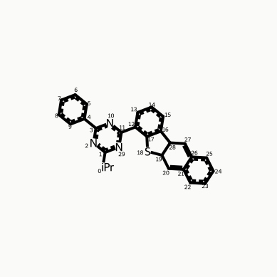 CC(C)c1nc(-c2ccccc2)nc(-c2cccc3c2SC2C=c4ccccc4=CC32)n1